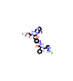 CCC(=O)N[C@H](Cc1ccc(NC(=O)[C@@H](NC(=O)c2ccnn2C)C2CCCCC2)cc1)C(=O)N1CCN2CCC[C@H]2C1